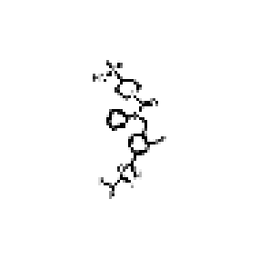 CS(=N)(=O)C1CCN(C(=O)N(Cc2ccc(-c3nnc(C(F)F)o3)cc2F)c2ccccc2)CC1